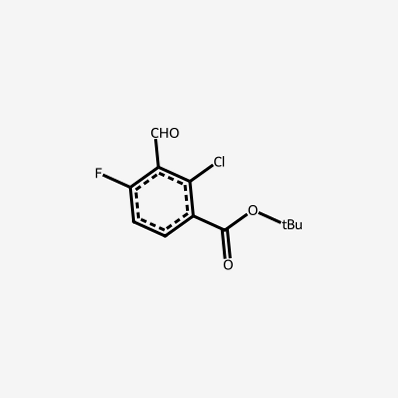 CC(C)(C)OC(=O)c1ccc(F)c(C=O)c1Cl